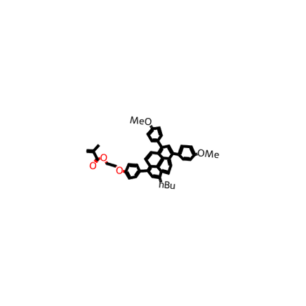 C=C(C)C(=O)OCCOc1ccc(-c2cc(CCCC)c3ccc4c(-c5ccc(OC)cc5)cc(-c5ccc(OC)cc5)c5ccc2c3c45)cc1